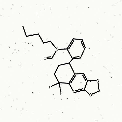 CCCCCN(C=O)c1ccccc1C1CCC(F)(F)c2cc3c(cc21)OCO3